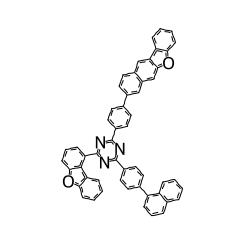 c1ccc2c(-c3ccc(-c4nc(-c5ccc(-c6ccc7cc8c(cc7c6)oc6ccccc68)cc5)nc(-c5cccc6oc7ccccc7c56)n4)cc3)cccc2c1